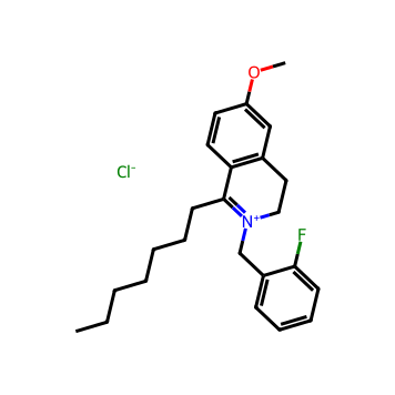 CCCCCCCC1=[N+](Cc2ccccc2F)CCc2cc(OC)ccc21.[Cl-]